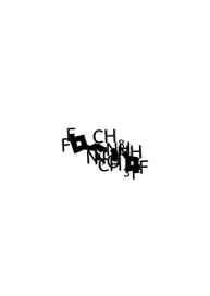 Cc1c(C2CC(F)(F)C2)nn(C)c1NC(=O)NC1CC(F)(F)C1